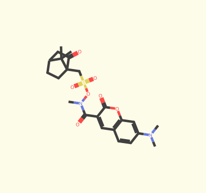 CN(OS(=O)(=O)CC12CCC(CC1=O)C2(C)C)C(=O)c1cc2ccc(N(C)C)cc2oc1=O